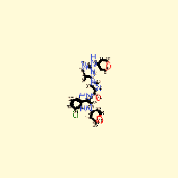 Cc1cnc(NC2CCOCC2)nc1-n1cnc(C(=O)NC(CNC2CCOCC2)c2cccc(Cl)c2)c1